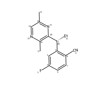 CC[C@H](c1cc(F)ccc1C#N)c1nc(C)cnc1C